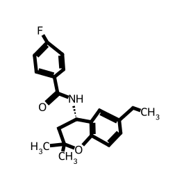 CCc1ccc2c(c1)[C@@H](NC(=O)c1ccc(F)cc1)CC(C)(C)O2